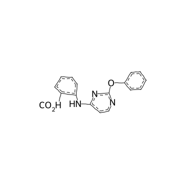 O=C(O)c1ccccc1Nc1ccnc(Oc2ccccc2)n1